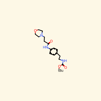 CC(C)(C)OC(=O)NCCc1ccc(NC(=O)CCN2CCOCC2)cc1